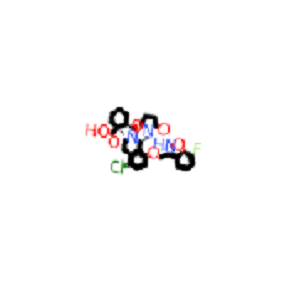 C[C@]1(C(=O)O)CCCC[C@H]1C(=O)N1CCc2c(Cl)ccc(OCC3=C4C=CC=C(F)C4ON3)c2[C@H]1CN1CCCC1=O